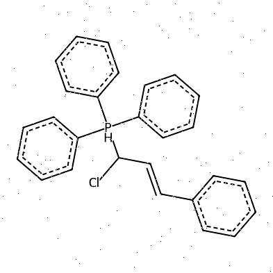 ClC(/C=C/c1ccccc1)[PH](c1ccccc1)(c1ccccc1)c1ccccc1